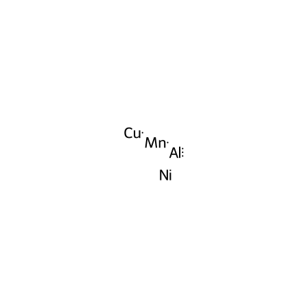 [Al].[Cu].[Mn].[Ni]